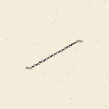 CCCCCCCCCCCCCCCCOCCOCCOCCOCCOCCOCCOCCOCCOCCOCCOC